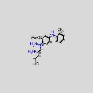 COc1cc(Nc2ccccc2C(F)(F)F)ccc1N(N)/C=C(\N)CCC(C)C